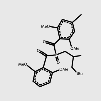 COc1cccc(OC)c1C(=O)P(=O)(CC(C)CC(C)(C)C)C(=O)c1c(OC)cc(C)cc1OC